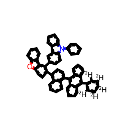 [2H]c1c([2H])c([2H])c(-c2c3ccccc3c(-c3ccc(-c4ccc5oc6ccccc6c5c4-c4ccc5c(c4)c4ccccc4n5-c4ccccc4)c4ccccc34)c3ccccc23)c([2H])c1[2H]